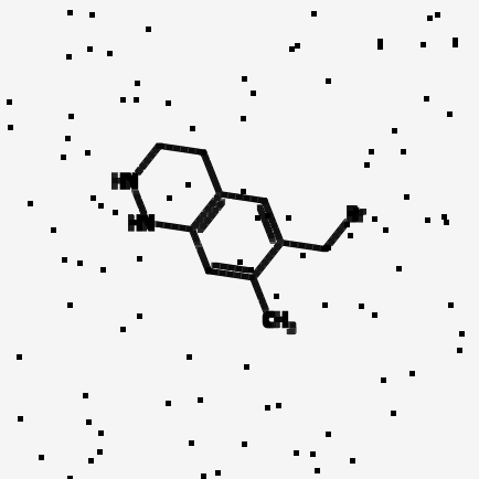 Cc1cc2c(cc1CBr)CCNN2